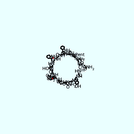 CCCCC[C@H]1C(=O)N[C@@H](CC(C)C)C(=O)N[C@H](C(=O)NCC(N)=O)CCNCC(=O)N[C@@H](Cc2ccc(O)cc2)C(=O)N(C)[C@@H](C)C(=O)NC(CC(N)=O)C(=O)N2CCC[C@H]2C(=O)N[C@@H](Cc2cnc[nH]2)C(=O)N[C@@H](CCC(N)=O)C(=O)N2C[C@H](O)C[C@H]2C(=O)N[C@@H](Cc2c[nH]c3ccccc23)C(=O)NCC(=O)N[C@@H](Cc2c[nH]c3ccccc23)C(=O)N(C)[C@@H](CCCC)C(=O)N1C